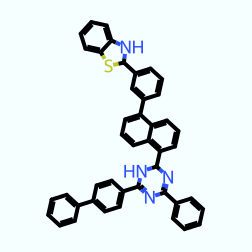 c1ccc(C2=NC(c3cccc4c(-c5cccc(C6Nc7ccccc7S6)c5)cccc34)NC(c3ccc(-c4ccccc4)cc3)=N2)cc1